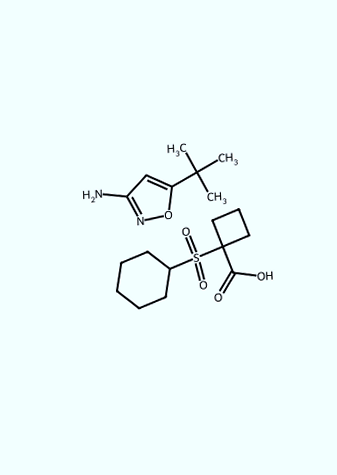 CC(C)(C)c1cc(N)no1.O=C(O)C1(S(=O)(=O)C2CCCCC2)CCC1